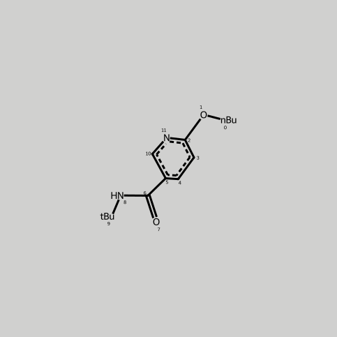 CCCCOc1ccc(C(=O)NC(C)(C)C)cn1